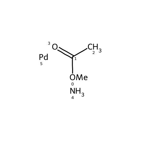 COC(C)=O.N.[Pd]